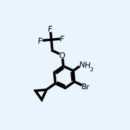 Nc1c(Br)cc(C2CC2)cc1OCC(F)(F)F